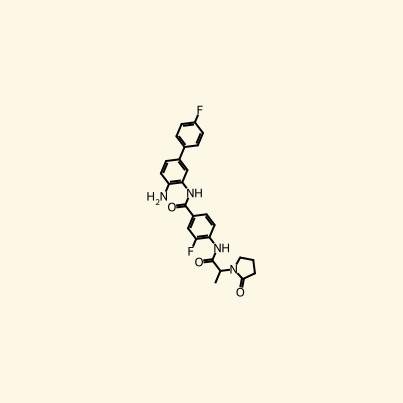 CC(C(=O)Nc1ccc(C(=O)Nc2cc(-c3ccc(F)cc3)ccc2N)cc1F)N1CCCC1=O